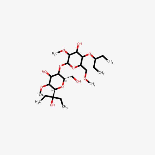 CCC(CC)OC1C(COC)OC(OC2C(O)C(OC)[C@H](C(O)(CC)CC)O[C@H]2CO)C(OC)C1O